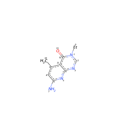 CCn1cnc2nc(N)cc(C)c2c1=O